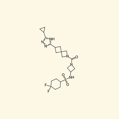 O=C(N1CC(NS(=O)(=O)C2CCC(F)(F)CC2)C1)N1CC2(CC(c3nnc(C4CC4)[nH]3)C2)C1